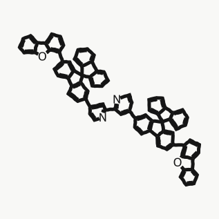 c1ccc2c(c1)-c1ccccc1C21c2cc(-c3ccnc(-c4cc(-c5ccc6c(c5)C5(c7ccccc7-c7ccccc75)c5cc(-c7cccc8c7oc7ccccc78)ccc5-6)ccn4)c3)ccc2-c2ccc(-c3cccc4c3oc3ccccc34)cc21